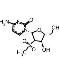 CS(=O)(=O)[C@@H]1[C@H](O)[C@@H](CO)O[C@H]1n1ccc(N)nc1=O